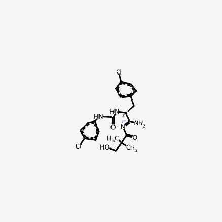 CC(C)(CO)C(=O)/N=C(\N)[C@H](Cc1ccc(Cl)cc1)NC(=O)Nc1ccc(Cl)cc1